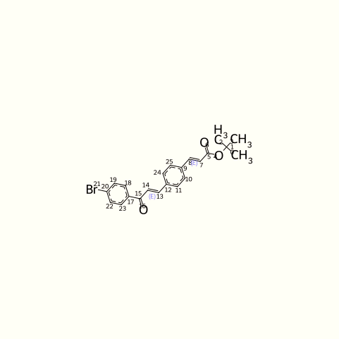 CC(C)(C)OC(=O)/C=C/c1ccc(/C=C/C(=O)c2ccc(Br)cc2)cc1